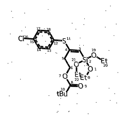 CCO[Si](/C=C(\CCOC(=O)C(C)(C)C)Sc1ccc(Cl)cc1)(OCC)OCC